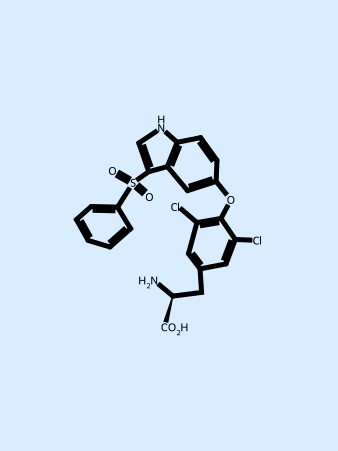 N[C@@H](Cc1cc(Cl)c(Oc2ccc3[nH]cc(S(=O)(=O)c4ccccc4)c3c2)c(Cl)c1)C(=O)O